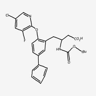 CC(C)(C)OC(=O)NC(CC(=O)O)Cc1cc(-c2ccccc2)ccc1Oc1ncc(Cl)cc1F